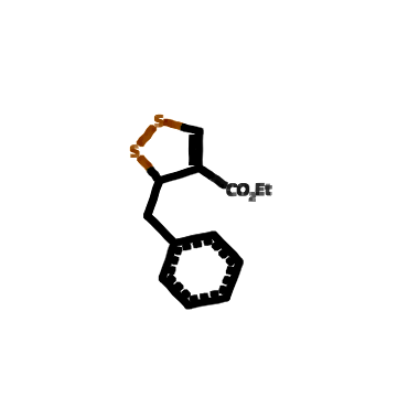 CCOC(=O)C1=CSSC1Cc1ccccc1